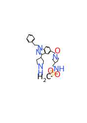 C=CS(=O)(=O)NCC1CCN(C(=O)c2ccc3c(c2)c(C2CCNCC2)nn3CCc2ccccc2)C1